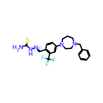 NC(=S)N/N=C/c1ccc(N2CCCN(Cc3ccccc3)CC2)cc1C(F)(F)F